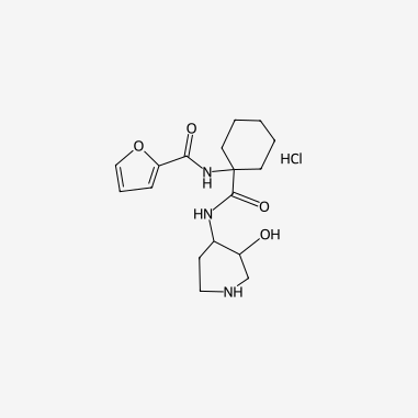 Cl.O=C(NC1(C(=O)NC2CCNCC2O)CCCCC1)c1ccco1